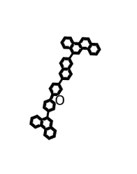 c1ccc2c(c1)cc(-c1ccc3c(c1)oc1cc(-c4ccc5cc(-c6cc7c8ccccc8ccc7c7ccccc67)ccc5c4)ccc13)c1ccccc12